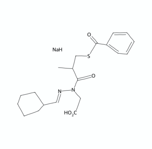 CC(CSC(=O)c1ccccc1)C(=O)N(CC(=O)O)N=CC1CCCCC1.[NaH]